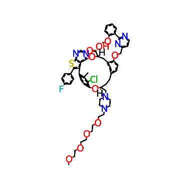 COCCOCCOCCOCCN1CCN(C[C@@H]2CCc3ccc(OCc4ccnc(-c5ccccc5OC)n4)c(c3)C[C@H](C(=O)O)Oc3ncnc4sc(-c5ccc(F)cc5)c(c34)-c3ccc(c(Cl)c3C)O2)CC1